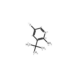 CC(C)(C)c1cc(F)cnc1N